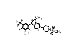 Cn1nc(-c2cc(C(F)(F)F)c(F)c(O)c2F)c2cnc(C3CCN(S(C)(=O)=O)CC3)cc21